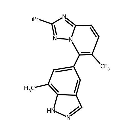 Cc1cc(-c2c(C(F)(F)F)ccc3nc(C(C)C)nn23)cc2cn[nH]c12